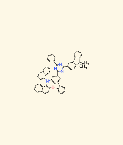 CC1(C)c2ccccc2-c2cc(-c3nc(-c4ccccc4)nc(-c4cc5c6c(c4)N(c4cccc7ccccc47)c4c(ccc7ccccc47)B6c4ccccc4-5)n3)ccc21